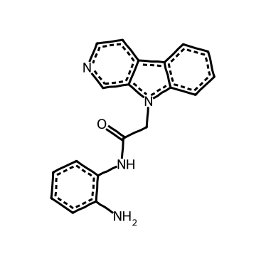 Nc1ccccc1NC(=O)Cn1c2ccccc2c2ccncc21